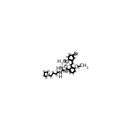 CCOc1cccc(C(=O)NC(=N)NCCCCN2CCCC2)c1CCc1cc(Br)ccc1OC